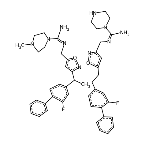 CC(c1ccc(-c2ccccc2)c(F)c1)c1cc(CN=C(N)N2CCN(C)CC2)on1.NC(=NCc1cc(CCc2ccc(-c3ccccc3)c(F)c2)on1)N1CCNCC1